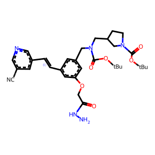 CC(C)(C)OC(=O)N1CCC(CN(Cc2cc(/C=C/c3cncc(C#N)c3)cc(OCC(=O)NN)c2)C(=O)OC(C)(C)C)C1